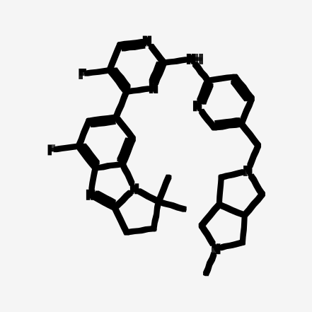 CN1CC2CN(Cc3ccc(Nc4ncc(F)c(-c5cc(F)c6nc7n(c6c5)C(C)(C)CC7)n4)nc3)CC2C1